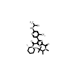 CCC(Nc1cc(C(F)(F)F)c(-c2sc(C(=O)N(C)C(C)C(C)(C)O)nc2C(=O)N2CCCC[C@@H]2C)cn1)C(F)(F)F